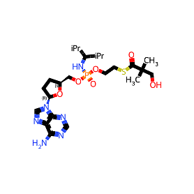 CC(C)C(NP(=O)(OCCSC(=O)C(C)(C)CO)OC[C@@H]1CC[C@H](n2cnc3c(N)ncnc32)O1)C(C)C